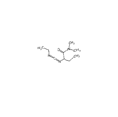 CCN=C=NC(CC)C(=O)N(C)C